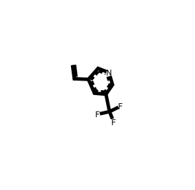 C=Cc1cncc(C(F)(F)F)c1